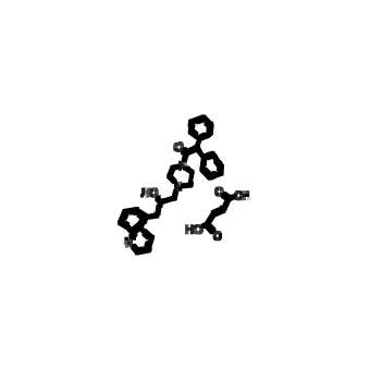 O=C(C(c1ccccc1)c1ccccc1)N1CCN(CC(O)Cc2cccc3ncccc23)CC1.O=C(O)/C=C/C(=O)O